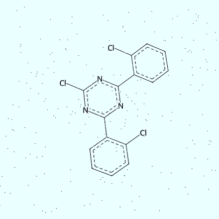 Clc1nc(-c2ccccc2Cl)nc(-c2ccccc2Cl)n1